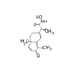 CC1=C2C[C@H]([C@H](C)C(=O)NO)CC[C@@]2(C)C=CC1=O